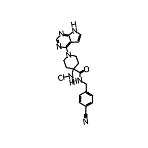 N#Cc1ccc(CNC(=O)C2(NCl)CCN(c3ncnc4[nH]ccc34)CC2)cc1